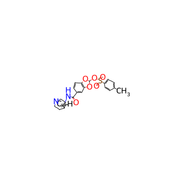 Cc1ccc(S(=O)(=O)OC2Oc3ccc(C(=O)N[C@H]4CN5CCC4CC5)cc3O2)cc1